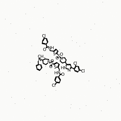 CN(Cc1ccccc1)C1CCN(S(=O)(=O)c2ccc(CNC(=O)c3ccc(Cl)cc3)s2)CC1.O=C(NCc1ccc(S(=O)(=O)N2CCC(c3cc(-c4ccc(Cl)cc4Cl)n[nH]3)CC2)s1)c1ccc(Cl)cc1